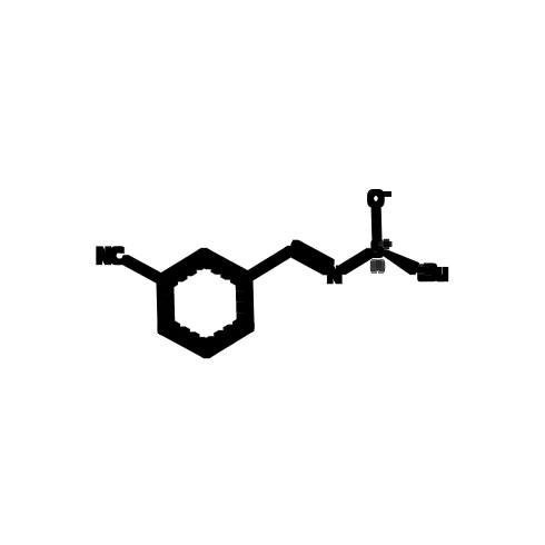 CC(C)(C)[S@+]([O-])N=Cc1cccc(C#N)c1